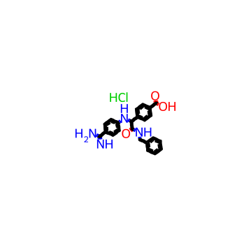 Cl.N=C(N)c1ccc(NC(C(=O)NCc2ccccc2)c2ccc(C(=O)O)cc2)cc1